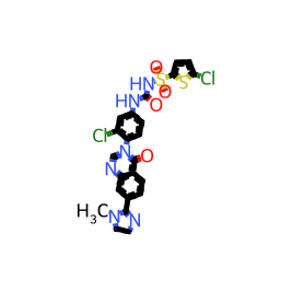 CN1CCN=C1c1ccc2c(=O)n(-c3ccc(NC(=O)NS(=O)(=O)c4ccc(Cl)s4)cc3Cl)cnc2c1